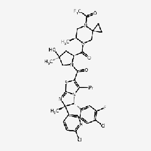 CC(C)C1=C(C(=O)N2C[C@@](C)(O)C[C@H]2C(=O)N2CC3(CC3)N(C(=O)C(F)(F)F)C[C@@H]2C)SC2=N[C@@](C)(c3ccc(Cl)nc3)[C@@H](c3ccc(Cl)c(F)c3)N21